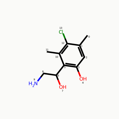 Cc1cc(O)c(C(O)CN)c(C)c1Cl